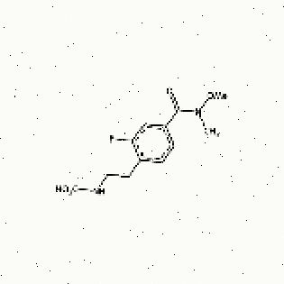 CON(C)C(=O)c1ccc(CCNC(=O)O)c(F)c1